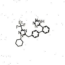 CCC(F)(F)c1nc(Cc2ccc(-c3ccccc3-c3nnn[nH]3)cc2)n(C2CCCCC2)n1